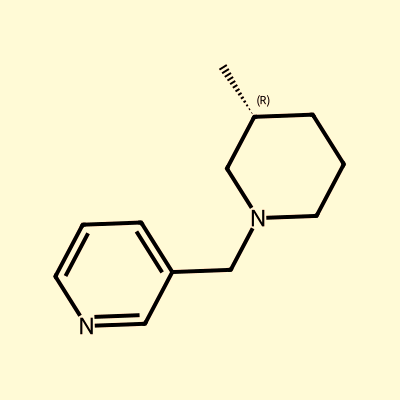 C[C@@H]1CCCN(Cc2cccnc2)C1